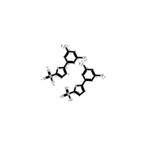 O=S(=O)(Cl)c1ccc(-c2cc(C(F)(F)F)cc(C(F)(F)F)c2)s1.O=S(=O)(Cl)c1ccc(-c2cc(C(F)(F)F)cc(C(F)(F)F)c2)s1